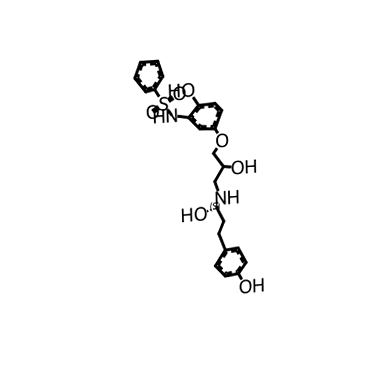 O=S(=O)(Nc1cc(OCC(O)CN[C@@H](O)CCc2ccc(O)cc2)ccc1O)c1ccccc1